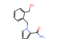 NC(=O)c1cccn1Cc1ccccc1CO